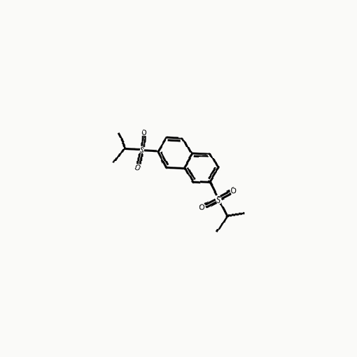 CC(C)S(=O)(=O)c1ccc2ccc(S(=O)(=O)C(C)C)cc2c1